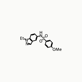 CCn1ncc2cc(NS(=O)(=O)c3ccc(OC)cc3)ccc21